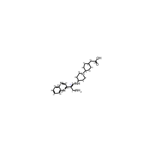 NC/C(=C\NC1CCN(C2CCC(CC(=O)O)CC2)CC1)c1cnc2ccccc2n1